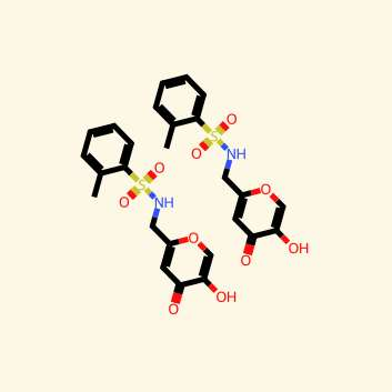 Cc1ccccc1S(=O)(=O)NCc1cc(=O)c(O)co1.Cc1ccccc1S(=O)(=O)NCc1cc(=O)c(O)co1